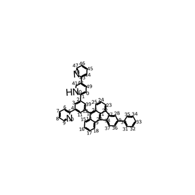 C1=C(c2cc(-c3ccccn3)cc(-c3c4ccccc4c4c5c(cccc35)-c3cc(-c5ccccc5)ccc3-4)c2)NCC(c2ccccn2)=C1